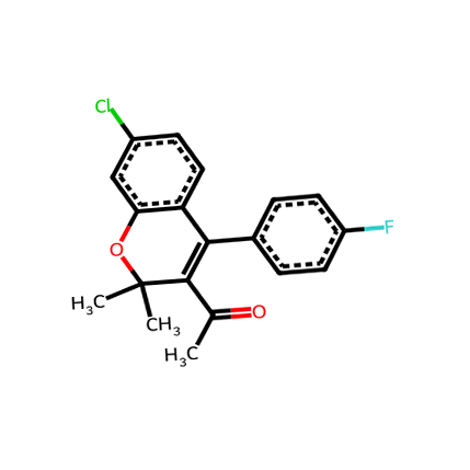 CC(=O)C1=C(c2ccc(F)cc2)c2ccc(Cl)cc2OC1(C)C